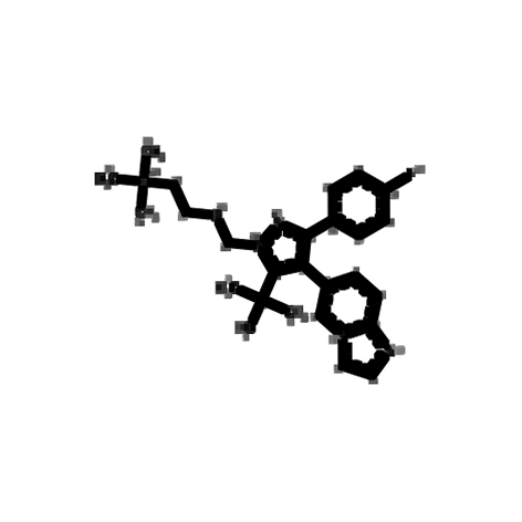 CC(C)(O)c1c(-c2ccc3nccn3c2)c(-c2ccc(F)cc2)nn1COCC[Si](C)(C)C